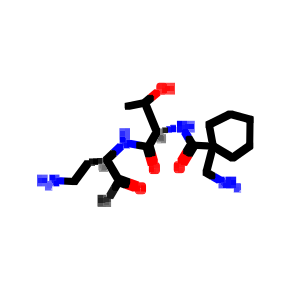 CCC(=O)[C@H](CCN)NC(=O)[C@@H](NC(=O)C1(CN)CCCCC1)C(C)O